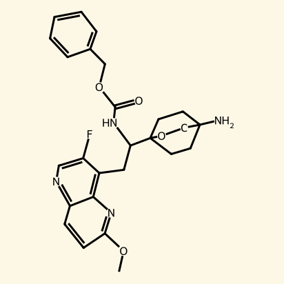 COc1ccc2ncc(F)c(CC(NC(=O)OCc3ccccc3)C34CCC(N)(CC3)CO4)c2n1